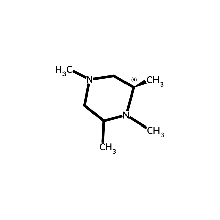 CC1CN(C)C[C@@H](C)N1C